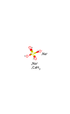 O=S(=O)([O-])[O-].[CaH2].[Na+].[Na+]